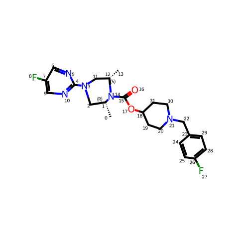 C[C@@H]1CN(c2ncc(F)cn2)C[C@H](C)N1C(=O)OC1CCN(Cc2ccc(F)cc2)CC1